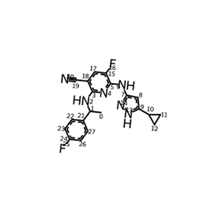 CC(Nc1nc(Nc2cc(C3CC3)[nH]n2)c(F)cc1C#N)c1ccc(F)cc1